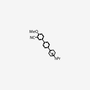 CCCC12CCC(c3ccc(-c4ccc(OC)c(C#N)c4)cc3)(CC1)CC2